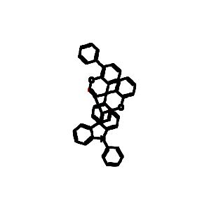 c1ccc(-c2cccc3c2Oc2cccc(-c4cccc5c4c4ccccc4n5-c4ccccc4)c2C32c3ccccc3Oc3ccccc32)cc1